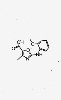 COc1ccccc1Nc1nc(C)c(C(=O)O)o1